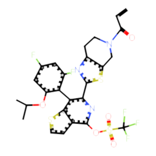 C=CC(=O)N1CCc2nc(-c3nc(OS(=O)(=O)C(F)(F)F)c4ccsc4c3-c3c(F)cc(F)cc3OC(C)C)sc2C1